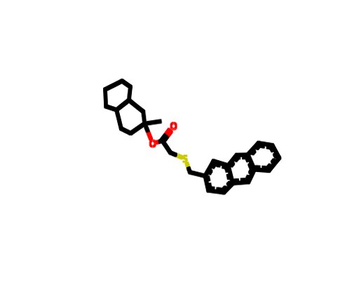 CC1(OC(=O)CSCc2ccc3cc4ccccc4cc3c2)CCC2CCCCC2C1